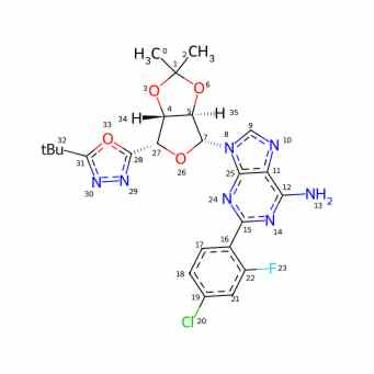 CC1(C)O[C@@H]2[C@@H](O1)[C@H](n1cnc3c(N)nc(-c4ccc(Cl)cc4F)nc31)O[C@@H]2c1nnc(C(C)(C)C)o1